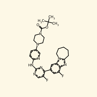 CC(C)(C)OC(=O)N1CCN(c2ccc(Nc3ncc(F)c(-c4cc(F)c5nc6n(c5c4)CCCCC6)n3)nc2)CC1